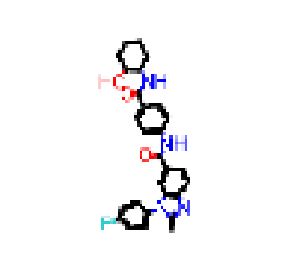 Cc1nc2ccc(C(=O)Nc3ccc(C(=O)NC4CCCCC4O)cc3)cc2n1-c1ccc(F)cc1